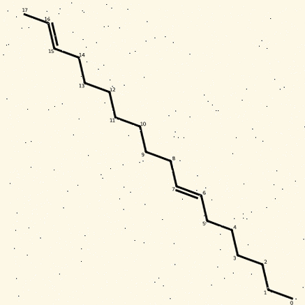 [CH2]CCCCCC=CCCCCCCCC=CC